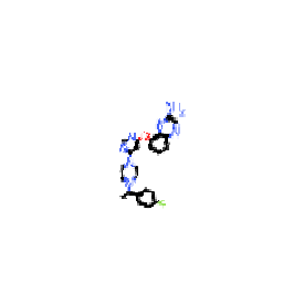 CC(c1ccc(F)cc1)N1CCN(c2cc(Oc3cccc4ncc(N)nc34)ncn2)CC1